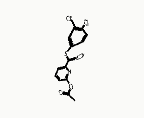 CC(=O)Oc1cccc(C(=O)Sc2ccc(Cl)c(Cl)c2)n1